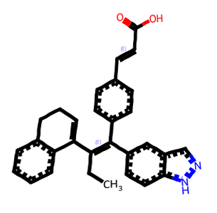 CC/C(C1=CCCc2ccccc21)=C(/c1ccc(/C=C/C(=O)O)cc1)c1ccc2[nH]ncc2c1